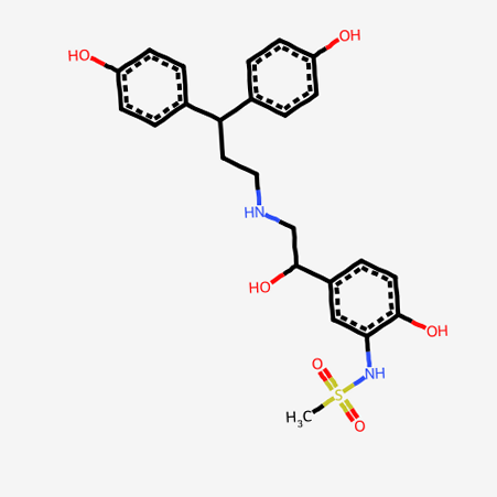 CS(=O)(=O)Nc1cc(C(O)CNCCC(c2ccc(O)cc2)c2ccc(O)cc2)ccc1O